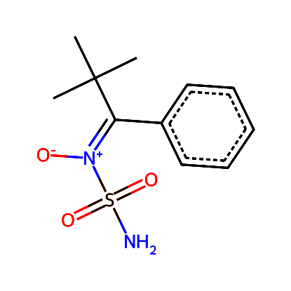 CC(C)(C)C(c1ccccc1)=[N+]([O-])S(N)(=O)=O